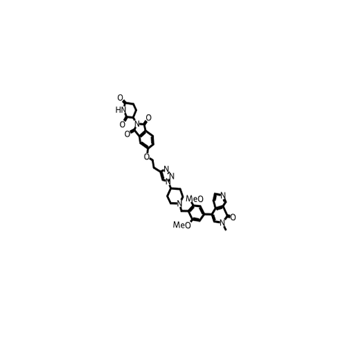 COc1cc(-c2cn(C)c(=O)c3cnccc23)cc(OC)c1CN1CCC(n2cc(CCOc3ccc4c(c3)C(=O)N(C3CCC(=O)NC3=O)C4=O)nn2)CC1